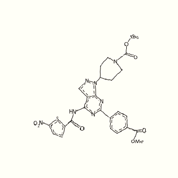 COC(=O)c1ccc(-c2nc(NC(=O)c3ccc([N+](=O)[O-])s3)c3cnn(C4CCN(C(=O)OC(C)(C)C)CC4)c3n2)cc1